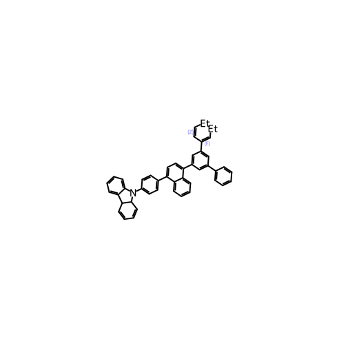 CC/C=C\C(=C/CC)c1cc(-c2ccccc2)cc(-c2ccc(-c3ccc(N4c5ccccc5C5C=CC=CC54)cc3)c3ccccc23)c1